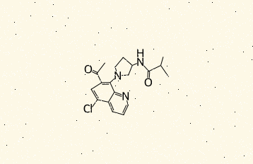 CC(=O)c1cc(Cl)c2cccnc2c1N1CCC(NC(=O)C(C)C)C1